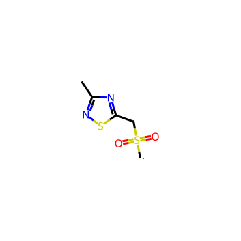 [CH2]S(=O)(=O)Cc1nc(C)ns1